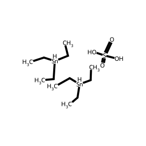 C[CH2][SnH]([CH2]C)[CH2]C.C[CH2][SnH]([CH2]C)[CH2]C.O=S(=O)(O)O